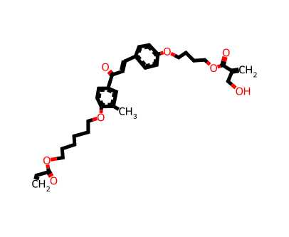 C=CC(=O)OCCCCCCOc1ccc(C(=O)/C=C/c2ccc(OCCCCOC(=O)C(=C)CO)cc2)cc1C